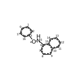 c1ccc(ONc2cccc3ccccc23)cc1